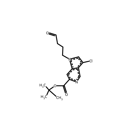 CC(C)(C)OC(=O)c1cc2c(cn1)c(Cl)cn2CCCC=O